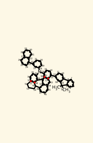 CC1(C)c2ccccc2-c2ccc(-c3ccc(N(c4cccc(-c5cccc6ccccc56)c4)c4ccccc4-c4cccc5cccc(C6CCCCC6)c45)cc3)cc21